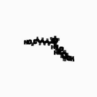 O=C(O)CCCCCCC1C2CCC(O2)C1CNCC(=O)Nc1ccc(O)cc1